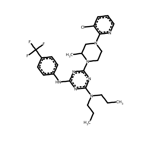 CCCN(CCC)c1nc(Nc2ccc(C(F)(F)F)cc2)nc(N2CCN(c3ncccc3Cl)CC2C)n1